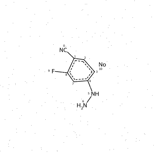 N#Cc1ccc(NN)cc1F.[No]